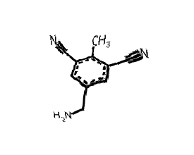 Cc1c(C#N)cc(CN)cc1C#N